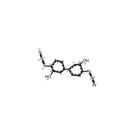 [N-]=[N+]=Nc1ccc(-c2ccc(N=[N+]=[N-])c(O)c2)cc1O